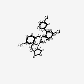 FC(F)(F)c1ccc(Cn2c(N3CCOC4CCCC43)nc3cc(Cl)nc(-c4cncc(Cl)c4)c32)cc1